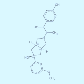 COc1cccc([C@]2(O)C[C@H]3CN(C(C)C(O)c4ccc(O)cc4)C[C@H]3C2)c1